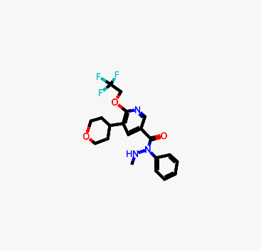 CNN(C(=O)c1cnc(OCC(F)(F)F)c(C2CCOCC2)c1)c1ccccc1